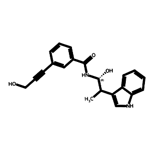 CC(c1c[nH]c2ccccc12)[C@@H](O)NC(=O)c1cccc(C#CCO)c1